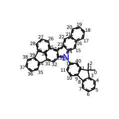 CC1(C)c2ccccc2-c2ccc(-n3c4cc5ccccc5cc4c4c5cccc6c5c(cc43)-c3ccccc3-6)cc21